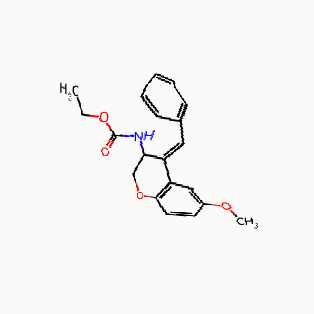 CCOC(=O)NC1COc2ccc(OC)cc2/C1=C/c1ccccc1